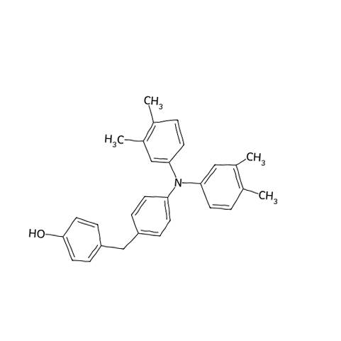 Cc1ccc(N(c2ccc(Cc3ccc(O)cc3)cc2)c2ccc(C)c(C)c2)cc1C